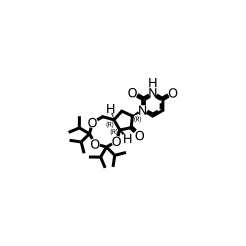 CC(C)C1(C(C)C)OC[C@H]2C[C@@H](n3ccc(=O)[nH]c3=O)C(=O)[C@@H]2OC(C(C)C)(C(C)C)O1